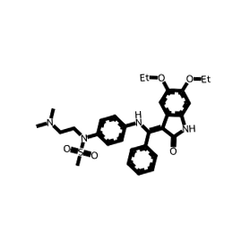 CCOc1cc2c(cc1OCC)C(=C(Nc1ccc(N(CCN(C)C)S(C)(=O)=O)cc1)c1ccccc1)C(=O)N2